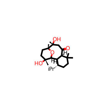 CC(C)[C@H]1CCC(C)(C)[C@@H]2C(=O)C[C@@](C)(O)[C@@]3(C)CC[C@@](C)(O)[C@H](O3)[C@H]12